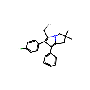 CC(=O)Cc1c(-c2ccc(Cl)cc2)c(-c2ccccc2)c2n1CC(C)(C)C2